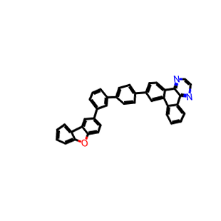 c1cc(-c2ccc(-c3ccc4c(c3)c3ccccc3c3nccnc43)cc2)cc(-c2ccc3oc4ccccc4c3c2)c1